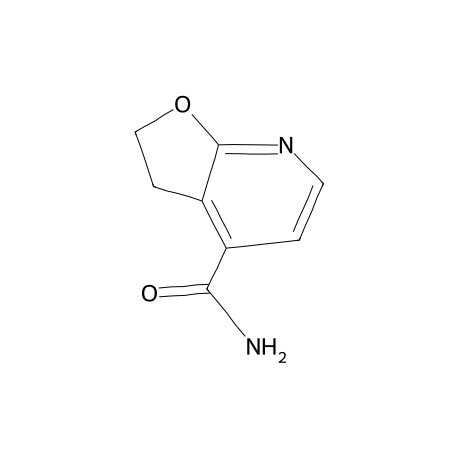 NC(=O)c1ccnc2c1CCO2